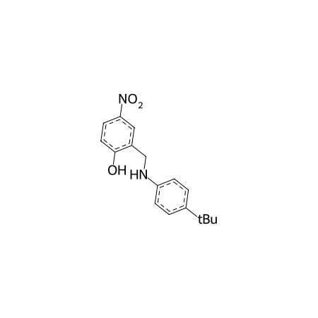 CC(C)(C)c1ccc(NCc2cc([N+](=O)[O-])ccc2O)cc1